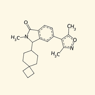 Cc1noc(C)c1-c1ccc2c(c1)C(C1CCC3(CCC3)CC1)N(C)C2=O